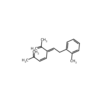 C=C(C)/C=C\C(=C/Cc1ccccc1C)C(=C)C